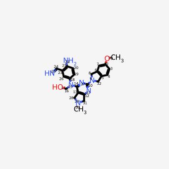 COc1ccc2c(c1)CN(c1nc3c(c(N(CO)c4ccc(N)c(C=N)c4)n1)CN(C)C3)C2